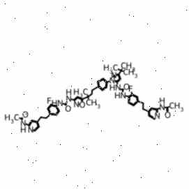 CC(=O)Nc1cc(CCc2ccc(NC(=O)Nc3cc(C(C)(C)CCc4ccc(-n5nc(C(C)(C)C)cc5NC(=O)Nc5ccc(CCc6ccnc(NC(C)=O)c6)cc5F)cc4)on3)c(F)c2)ccn1